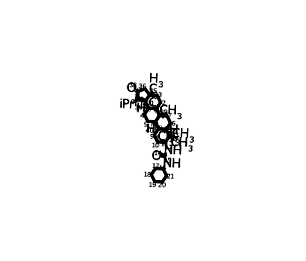 CC(C)C1=C2[C@H]3CC[C@@H]4[C@@]5(C)CCC(NC(=O)NC6CCCCC6)C(C)(C)[C@@H]5CC[C@@]4(C)[C@]3(C)CC[C@@]2(C)CC1=O